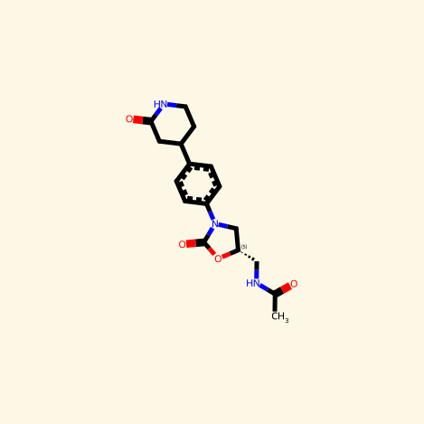 CC(=O)NC[C@H]1CN(c2ccc(C3CCNC(=O)C3)cc2)C(=O)O1